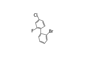 Fc1cc(Cl)ccc1-c1ccccc1Br